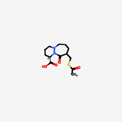 CC(=O)SCC1CCCN2CCC[C@@H](C(=O)O)N2C1=O